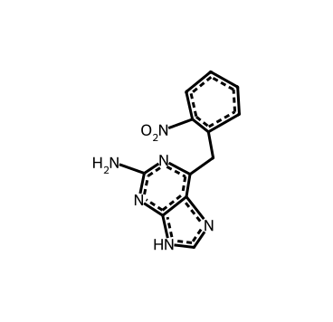 Nc1nc(Cc2ccccc2[N+](=O)[O-])c2nc[nH]c2n1